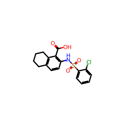 O=C(O)c1c(NS(=O)(=O)c2ccccc2Cl)ccc2c1CCCC2